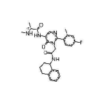 CN[C@@H](C)C(=O)Nc1cnc(-c2ccc(F)cc2C)n(CC(=O)NC2CCCc3ccccc32)c1=O